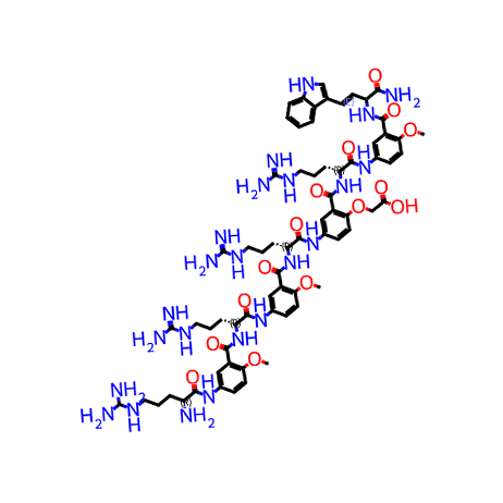 COc1ccc(NC(=O)[C@@H](CCCNC(=N)N)NC(=O)c2cc(NC(=O)[C@@H](CCCNC(=N)N)NC(=O)c3cc(NC(=O)[C@@H](CCCNC(=N)N)NC(=O)c4cc(NC(=O)[C@H](N)CCCNC(N)N)ccc4OC)ccc3OC)ccc2OCC(=O)O)cc1C(=O)NC(/C=C/c1c[nH]c2ccccc12)C(N)=O